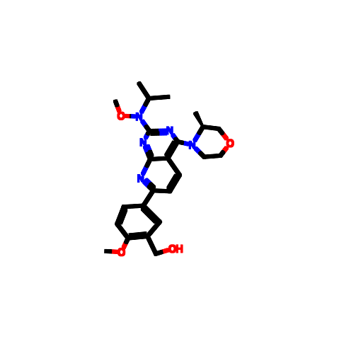 COc1ccc(-c2ccc3c(N4CCOC[C@@H]4C)nc(N(OC)C(C)C)nc3n2)cc1CO